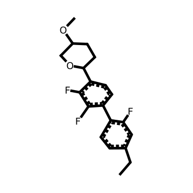 CCc1ccc(-c2ccc(C3CCC(OC)CO3)c(F)c2F)c(F)c1